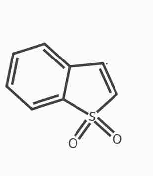 O=S1(=O)C=[C]c2ccccc21